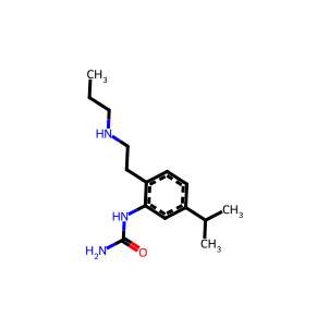 CCCNCCc1ccc(C(C)C)cc1NC(N)=O